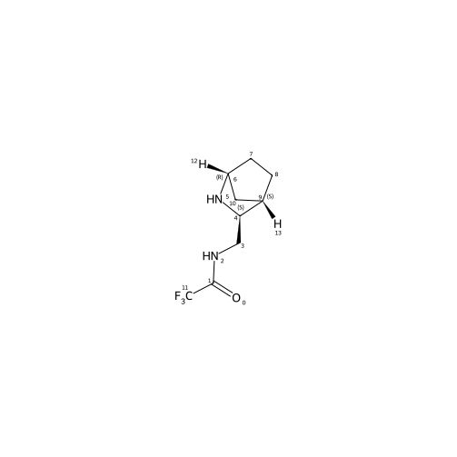 O=C(NC[C@H]1N[C@@H]2CC[C@H]1C2)C(F)(F)F